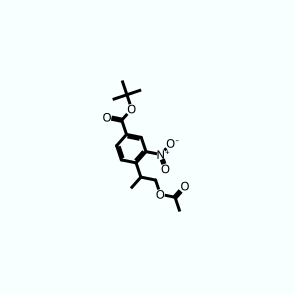 CC(=O)OCC(C)c1ccc(C(=O)OC(C)(C)C)cc1[N+](=O)[O-]